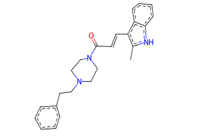 Cc1[nH]c2ccccc2c1/C=C/C(=O)N1CCN(CCc2ccccc2)CC1